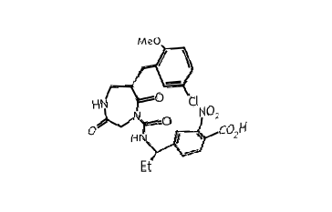 CC[C@@H](NC(=O)N1CC(=O)NC[C@@H](Cc2cc(Cl)ccc2OC)C1=O)c1ccc(C(=O)O)c([N+](=O)[O-])c1